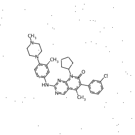 Cc1cc(Nc2ncc3c(C)c(-c4cccc(Cl)c4)c(=O)n(C4CCCC4)c3n2)ccc1N1CCN(C)CC1